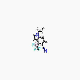 CCC(C)n1ccc2c(C(F)(F)F)c(C#N)ccc21